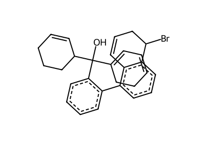 OC(C1=CC=CCC1)(c1ccccc1-c1cccc2c1C=CCC2Br)C1C=CCCC1